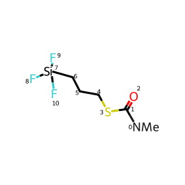 CNC(=O)SCCC[Si](F)(F)F